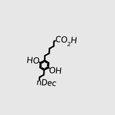 CCCCCCCCCCCCc1cc(O)c(CCCCCC(=O)O)cc1O